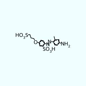 Cc1cc(N)ccc1N=Nc1ccc(OCCCS(=O)(=O)O)cc1S(=O)(=O)O